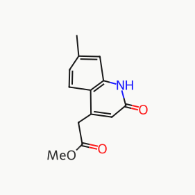 COC(=O)Cc1cc(=O)[nH]c2cc(C)ccc12